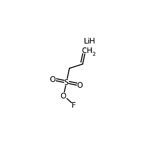 C=CCS(=O)(=O)OF.[LiH]